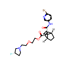 O=C(OCCOCCN1CC[C@H](F)C1)[C@H]1[C@H](C(=O)Nc2ccc(Br)nc2)[C@@H]2CC[C@H]1C21CC1